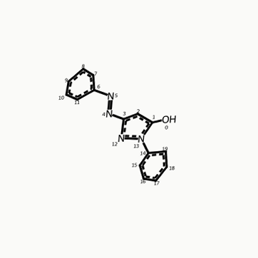 Oc1cc(N=Nc2ccccc2)nn1-c1ccccc1